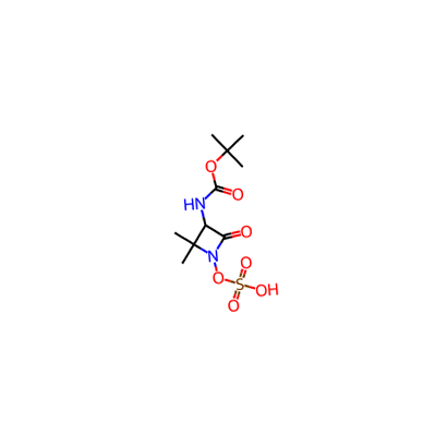 CC(C)(C)OC(=O)NC1C(=O)N(OS(=O)(=O)O)C1(C)C